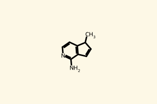 CC1C=Cc2c1ccnc2N